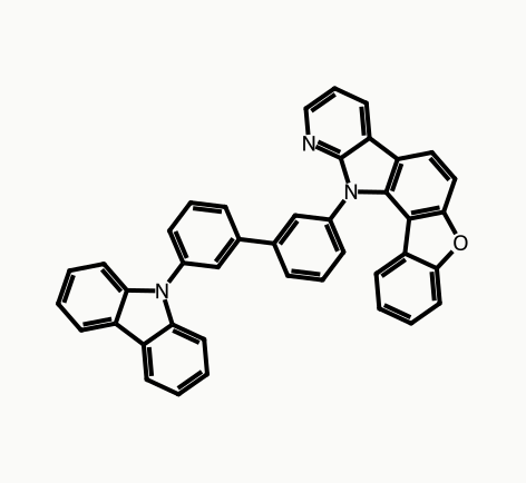 c1cc(-c2cccc(-n3c4ncccc4c4ccc5oc6ccccc6c5c43)c2)cc(-n2c3ccccc3c3ccccc32)c1